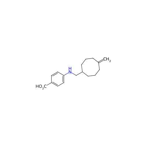 C=C1CCCC(CNc2ccc(C(=O)O)cc2)CCC1